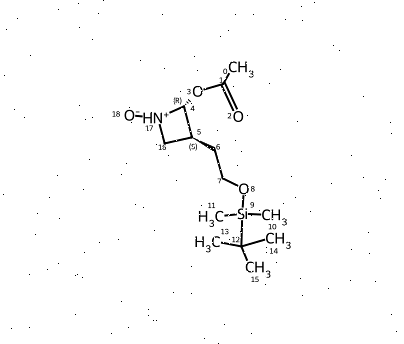 CC(=O)O[C@@H]1[C@@H](CCO[Si](C)(C)C(C)(C)C)C[NH+]1[O-]